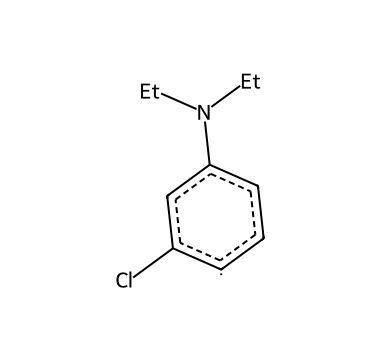 CCN(CC)c1cc[c]c(Cl)c1